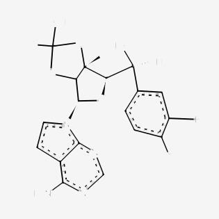 CC1(C)OC2[C@H](n3ccc4c(N)ncnc43)O[C@H]([C@@](C)(O)c3ccc(F)c(F)c3)[C@H]2O1